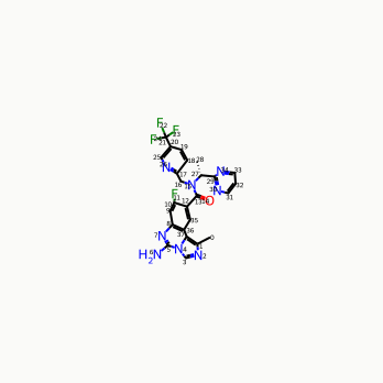 Cc1ncn2c(N)nc3cc(F)c(C(=O)N(Cc4ccc(C(F)(F)F)cn4)[C@H](C)c4ncccn4)cc3c12